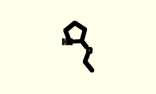 CCOC1CCCN1